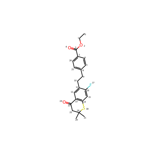 CCOC(=O)c1ccc(CCc2cc3c(cc2F)SC(C)(C)CC3=O)cc1